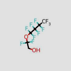 OCC(F)(F)OC(F)(F)C(F)(F)C(F)(F)C(F)(F)F